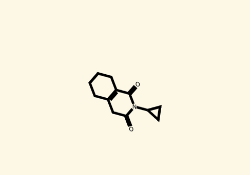 O=C1CC2=C(CCCC2)C(=O)N1C1CC1